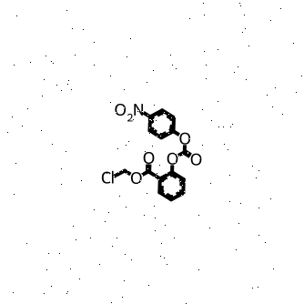 O=C(Oc1ccc([N+](=O)[O-])cc1)Oc1ccccc1C(=O)OCCl